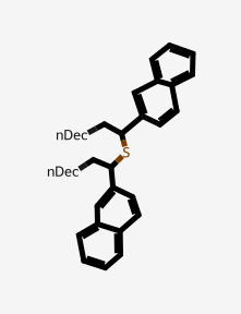 CCCCCCCCCCCC(SC(CCCCCCCCCCC)c1ccc2ccccc2c1)c1ccc2ccccc2c1